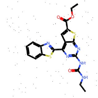 CCNC(=O)Nc1nc(-c2nc3ccccc3s2)c2cc(C(=O)OCC)sc2n1